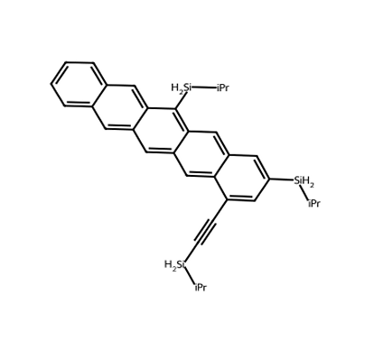 CC(C)[SiH2]C#Cc1cc([SiH2]C(C)C)cc2cc3c([SiH2]C(C)C)c4cc5ccccc5cc4cc3cc12